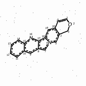 [C]1=COCc2cn3cc4cc5ccccc5nc4c3cc21